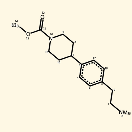 CNCCc1ccc(C2CCN(C(=O)OC(C)(C)C)CC2)cc1